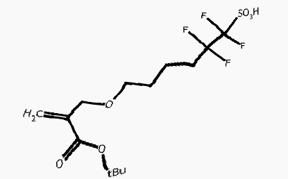 C=C(COCCCCC(F)(F)C(F)(F)S(=O)(=O)O)C(=O)OC(C)(C)C